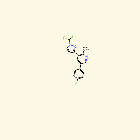 N#Cc1ncc(-c2ccc(F)cc2)cc1-c1ccn(C(F)F)n1